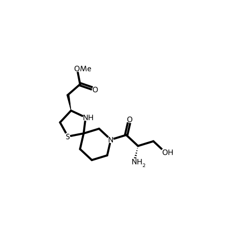 COC(=O)C[C@@H]1CSC2(CCCN(C(=O)[C@@H](N)CO)C2)N1